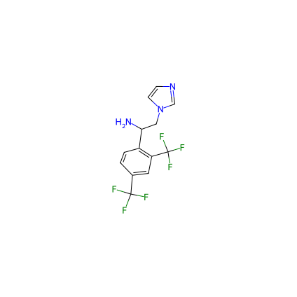 NC(Cn1ccnc1)c1ccc(C(F)(F)F)cc1C(F)(F)F